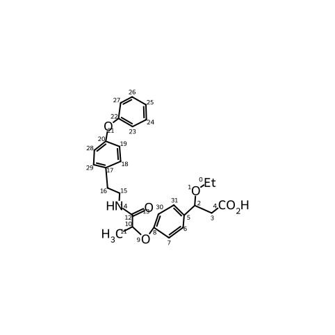 CCOC(CC(=O)O)c1ccc(OC(C)C(=O)NCCc2ccc(Oc3ccccc3)cc2)cc1